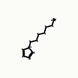 BrCCCCCCn1cccc1